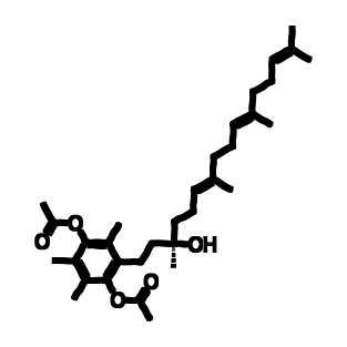 CC(=O)Oc1c(C)c(C)c(OC(C)=O)c(CC[C@](C)(O)CC/C=C(\C)CC/C=C(\C)CCC=C(C)C)c1C